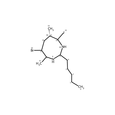 CCCCCC1NC(C)C(Br)C[C@H](C)C(I)N1